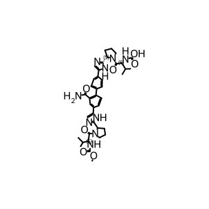 COC(=O)N[C@H](C(=O)N1CCCC1c1ncc(-c2ccc(-c3ccc(-c4cnc([C@@H]5CCCN5C(=O)[C@@H](NC(=O)O)C(C)C)[nH]4)cc3)c(C(N)=O)c2)[nH]1)C(C)C